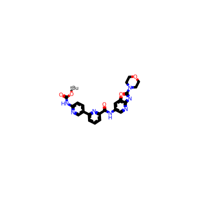 CC(C)(C)OC(=O)Nc1ccc(-c2cccc(C(=O)Nc3cnc4nc(N5CCOCC5)oc4c3)n2)cn1